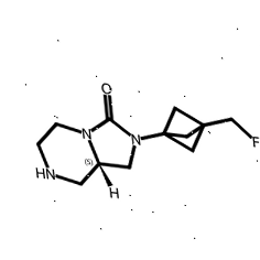 O=C1N2CCNC[C@H]2CN1C12CC(CF)(C1)C2